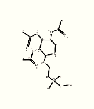 CC(=O)O[C@H]1[C@@H](OC(C)=O)COC(OCC[N+](C)(C)CF)[C@@H]1OC(C)=O